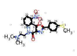 CSc1ccc(-c2nc(C(=O)NCCN(C)C)c(-c3ccccc3[N+](=O)[O-])o2)cc1